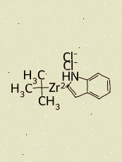 C[C](C)(C)[Zr+2][c]1cc2ccccc2[nH]1.[Cl-].[Cl-]